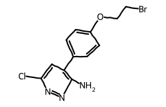 Nc1nnc(Cl)cc1-c1ccc(OCCBr)cc1